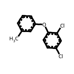 Cc1cccc(Oc2ccc(Cl)cc2Cl)c1